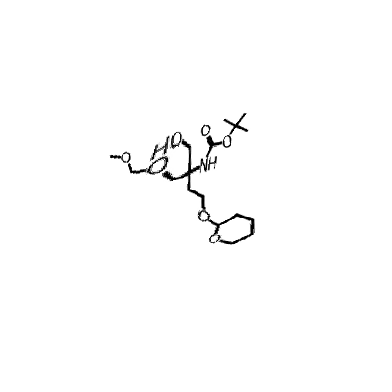 COCOCC(CO)(CCOC1CCCCO1)NC(=O)OC(C)(C)C